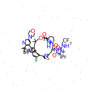 CCn1c(-c2cc(N3CCOCC3)cnc2[C@H](C)OC)c2c3cc(c(F)cc31)-c1csc(n1)C[C@H](NC(=O)[C@H](C(C)C)N(C)C(=O)NCC(F)(F)F)C(=O)N1CCC[C@H](N1)C(=O)OCC(C)(C)C2